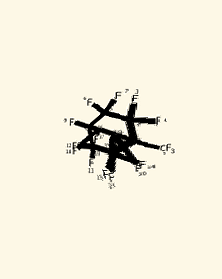 FC(F)(F)C12C(F)(F)C(F)(F)C(F)(C(F)(F)C1(F)F)C(F)(F)C2(F)F